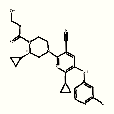 N#Cc1cc(Nc2ccnc(Cl)c2)c(C2CC2)nc1N1CCN(C(=O)CCO)[C@H](C2CC2)C1